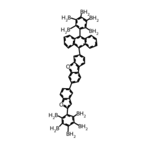 Bc1c(B)c(B)c(-c2cc3cc(-c4ccc5c(c4)oc4cc(-c6c7ccccc7c(-c7c(B)c(B)c(B)c(B)c7B)c7ccccc67)ccc45)ccc3o2)c(B)c1B